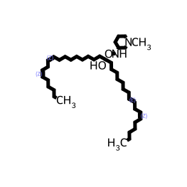 CCCCC/C=C\C/C=C\CCCCCCCCC(O)(CCCCCCC/C=C/C/C=C\CCCCC)ONC1CCCN(C)C1